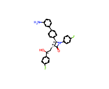 Nc1cccc(-c2ccc([C@@H]3[C@@H](CC[C@H](O)c4ccc(F)cc4)C(=O)N3c3ccc(F)cc3)cc2)c1